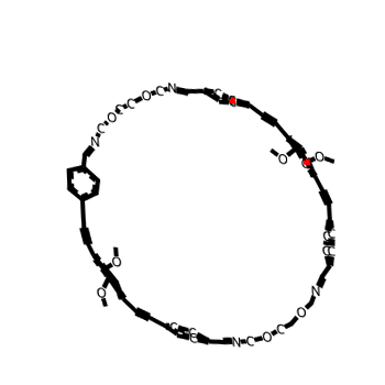 COc1cc2c(OC)cc1C#Cc1ccc(cc1)/C=N/COCCOC/N=C/c1ccc(cc1)C#Cc1cc(OC)c(cc1OC)C#Cc1ccc(cc1)/C=N/COCCOC/N=C/c1ccc(cc1)C#C2